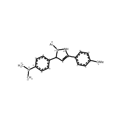 COc1ccc(C2=CC(c3ccc(N(C)C)cc3)N(C(C)=O)N2)cc1